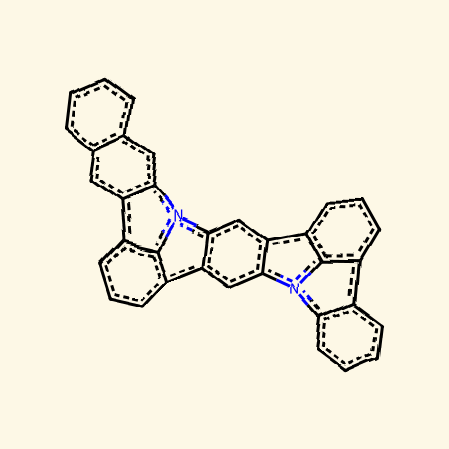 c1ccc2cc3c(cc2c1)c1cccc2c4cc5c(cc4n3c12)c1cccc2c3ccccc3n5c21